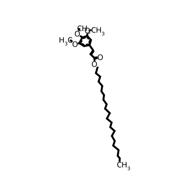 CCCCCCCCCCCCCCCCCCCCCCOC(=O)C=Cc1cc(OC)c(OC)c(OC)c1